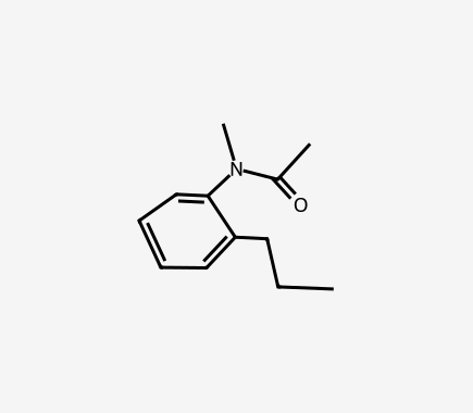 CCCc1ccccc1N(C)C(C)=O